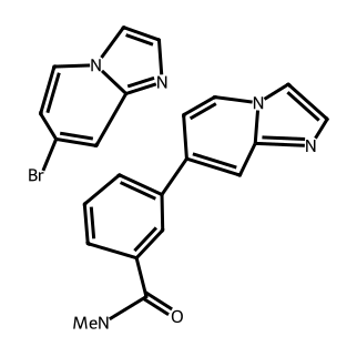 Brc1ccn2ccnc2c1.CNC(=O)c1cccc(-c2ccn3ccnc3c2)c1